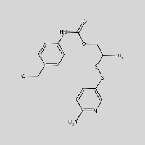 CC(COC(=O)Nc1ccc(CCl)cc1)SSc1ccc([N+](=O)[O-])nc1